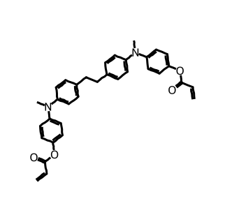 C=CC(=O)Oc1ccc(N(C)c2ccc(CCc3ccc(N(C)c4ccc(OC(=O)C=C)cc4)cc3)cc2)cc1